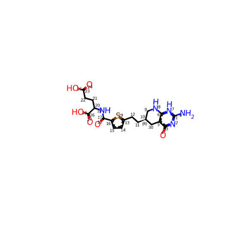 Nc1nc(=O)c2c([nH]1)NC[C@H](CCc1ccc(C(=O)NC(CCC(=O)O)C(=O)O)s1)C2